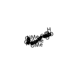 CNC(=O)N1CCc2c(-c3cc(OC)c(CN4CCC(CCN5CCC6(CC5)CC(Oc5ccc7c(c5)C(=O)N(C5CCC(=O)NC5=O)C7=O)C6)CC4)c(OC)c3)cn(C)c(=O)c2C1